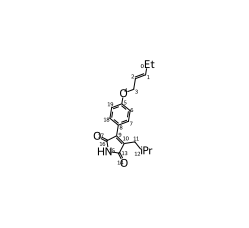 CCC=CCOc1ccc(C2=C(CC(C)C)C(=O)NC2=O)cc1